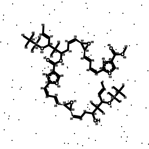 C/C=C/C(O[Si](C)(C)C(C)(C)C)C(C)(C)C(O)C/C=C\[C@H]1O[C@H]1/C=C/C=C\c1nc(C(=O)OC(C/C=C\[C@H]2O[C@H]2/C=C/C=C\c2nc(C(=O)OC)co2)C(C)(C)C(/C=C/C)O[Si](C)(C)C(C)(C)C)co1